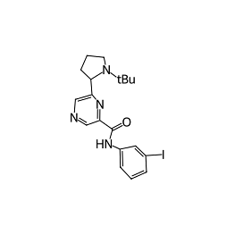 CC(C)(C)N1CCCC1c1cncc(C(=O)Nc2cccc(I)c2)n1